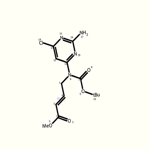 COC(=O)/C=C/CN(C(=O)OC(C)(C)C)c1cc(Cl)nc(N)n1